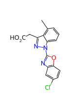 Cc1cccc2c1c(CC(=O)O)nn2-c1nc2cc(Cl)ccc2o1